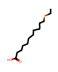 CCSCCCCCCCCCCC(=O)O